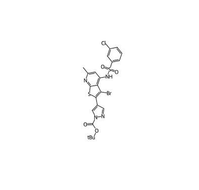 Cc1cc(NS(=O)(=O)c2cccc(Cl)c2)c2c(Br)c(-c3cnn(C(=O)OC(C)(C)C)c3)sc2n1